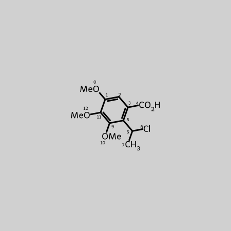 COc1cc(C(=O)O)c(C(C)Cl)c(OC)c1OC